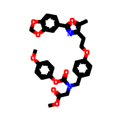 COC(=O)CN(Cc1ccc(OCCc2nc(-c3ccc4c(c3)OCO4)oc2C)cc1)C(=O)Oc1ccc(OC)cc1